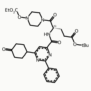 CCOC(=O)ON1CCN(C(=O)[C@H](CCC(=O)OC(C)(C)C)NC(=O)c2cc(C3CCC(=O)CC3)nc(-c3ccccc3)n2)CC1